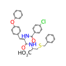 O=C(N[C@@H](CSCc1ccccc1)C(=O)O)C(=Cc1ccc(Oc2ccccc2)cc1)NC(=O)c1ccc(Cl)cc1